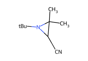 CC(C)(C)N1C(C#N)C1(C)C